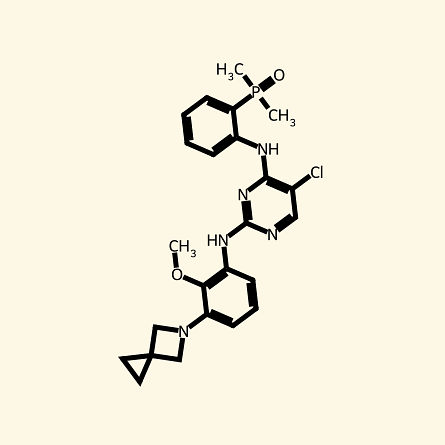 COc1c(Nc2ncc(Cl)c(Nc3ccccc3P(C)(C)=O)n2)cccc1N1CC2(CC2)C1